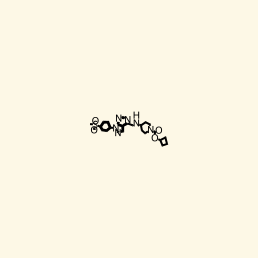 CS(=O)(=O)c1ccc(-n2ncc3c(CNC4CCN(C(=O)OC5CCC5)CC4)ncnc32)cc1